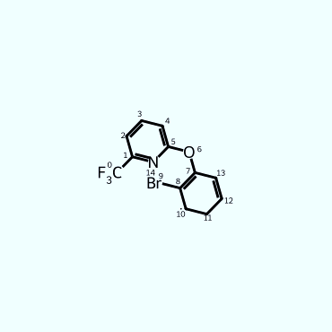 FC(F)(F)c1cccc(OC2=C(Br)[CH]CC=C2)n1